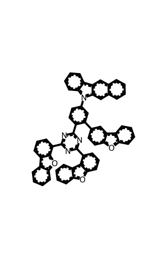 c1ccc2cc3c(cc2c1)c1ccccc1n3-c1ccc(-c2nc(-c3cccc4c3oc3ccccc34)nc(-c3cccc4oc5ccccc5c34)n2)c(-c2ccc3oc4ccccc4c3c2)c1